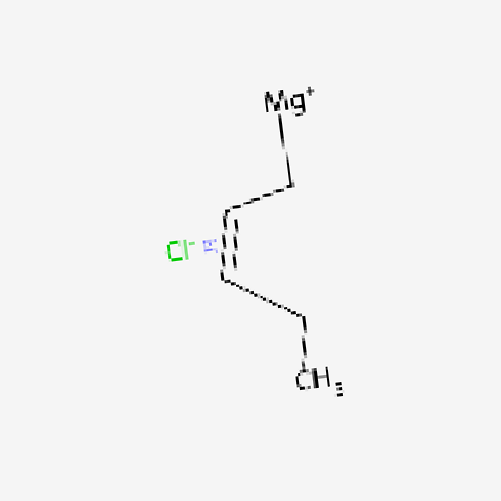 CC/C=C\[CH2][Mg+].[Cl-]